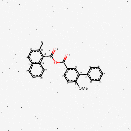 COc1ccc(C(=O)OC(=O)c2c(C)ccc3ccccc23)cc1-c1ccccc1